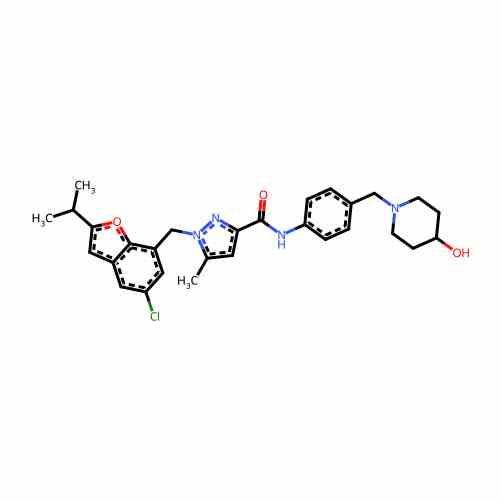 Cc1cc(C(=O)Nc2ccc(CN3CCC(O)CC3)cc2)nn1Cc1cc(Cl)cc2cc(C(C)C)oc12